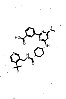 CNc1nc(N[C@H]2CC[C@@H](C(=O)NCc3cnccc3C(F)(F)F)CC2)nc(-c2cccc(C(=O)O)c2)n1